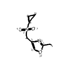 Cc1nc(CS(=O)(=O)C2CC2)co1